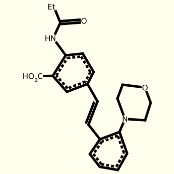 CCC(=O)Nc1ccc(C=Cc2ccccc2N2CCOCC2)cc1C(=O)O